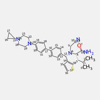 CC(C)C[C@@H](C(N)=O)N(CC#N)[C@@H](c1ccc(-c2ccc(N3CCN(C4CC4)CC3)cc2)cc1)c1ccsc1